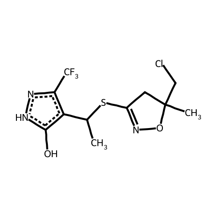 CC(SC1=NOC(C)(CCl)C1)c1c(C(F)(F)F)n[nH]c1O